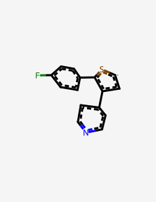 Fc1ccc(-c2s[c]cc2-c2ccncc2)cc1